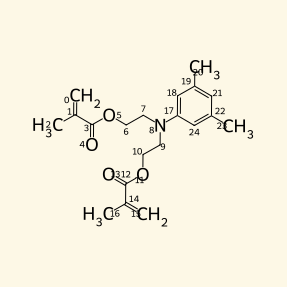 C=C(C)C(=O)OCCN(CCOC(=O)C(=C)C)c1cc(C)cc(C)c1